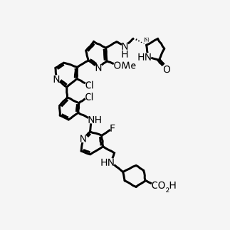 COc1nc(-c2ccnc(-c3cccc(Nc4nccc(CNC5CCC(C(=O)O)CC5)c4F)c3Cl)c2Cl)ccc1CNC[C@@H]1CCC(=O)N1